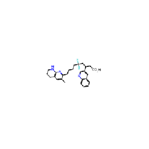 Cc1cc2c(nc1CCCCC(F)(F)CC(CC(=O)O)c1cnc3ccccc3c1)NCCC2